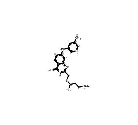 CCC(CCOC)SCc1nc2cc(Nc3cncc(C)c3)ccc2c(=O)[nH]1